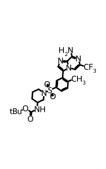 Cc1ccc(S(=O)(=O)N2CCCC(NC(=O)OC(C)(C)C)C2)cc1-c1cnc2c(N)nc(C(F)(F)F)cn12